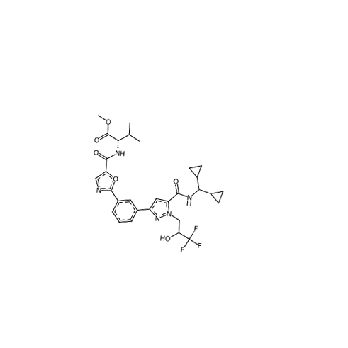 COC(=O)[C@@H](NC(=O)c1cnc(-c2cccc(-c3cc(C(=O)NC(C4CC4)C4CC4)n(CC(O)C(F)(F)F)n3)c2)o1)C(C)C